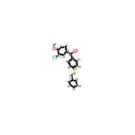 COc1ccc(C(=O)c2ccc(SCc3ccccc3)cc2)cc1Cl